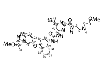 COCCN(C)CCNC(=O)c1nc(NC(=O)N[C@H]2CC[C@@H](Oc3ccc4nnc(C(C)OC)n4c3)c3ccccc32)cc(C(C)(C)C)n1